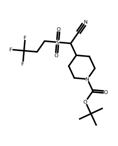 CC(C)(C)OC(=O)N1CCC(C(C#N)S(=O)(=O)CCC(F)(F)F)CC1